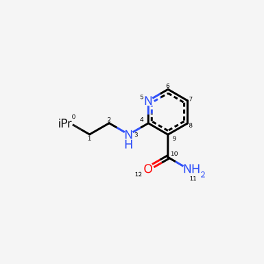 CC(C)CCNc1ncccc1C(N)=O